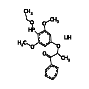 CCOPc1c(OC)cc(OC(C)C(=O)c2ccccc2)cc1OC.[LiH]